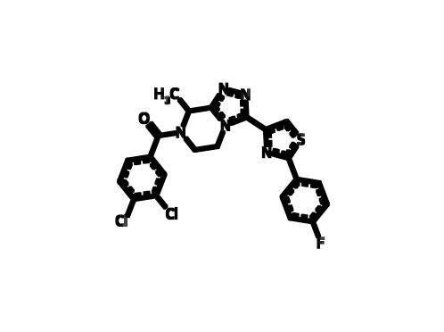 CC1c2nnc(-c3csc(-c4ccc(F)cc4)n3)n2CCN1C(=O)c1ccc(Cl)c(Cl)c1